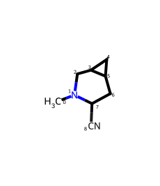 CN1CC2CC2CC1C#N